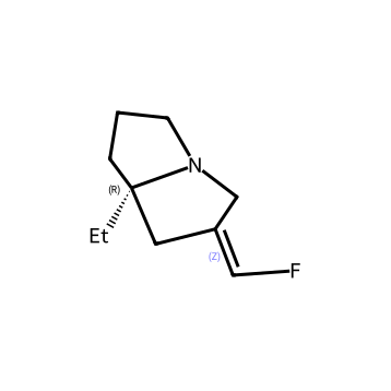 CC[C@]12CCCN1C/C(=C\F)C2